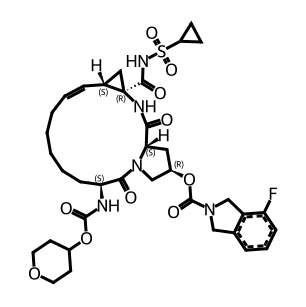 O=C(N[C@H]1CCCCCC=C[C@@H]2C[C@@]2(C(=O)NS(=O)(=O)C2CC2)NC(=O)[C@@H]2C[C@@H](OC(=O)N3Cc4cccc(F)c4C3)CN2C1=O)OC1CCOCC1